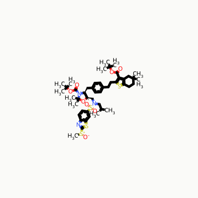 CC(C)CN(C[C@H]1OC(C)(C)N(C(=O)OC(C)(C)C)[C@H]1Cc1ccc(CCc2sc3c(c2C(=O)OC(C)(C)C)CC(C)(C)CC3)cc1)S(=O)(=O)c1ccc2nc([S+](C)[O-])sc2c1